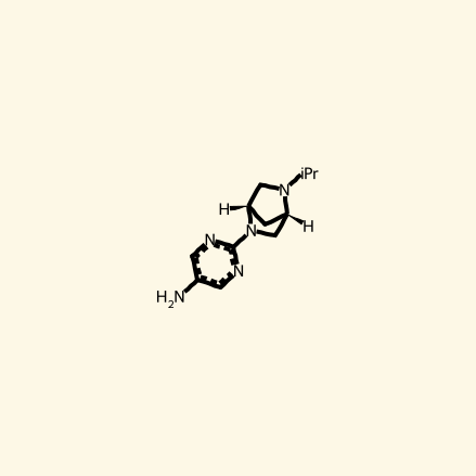 CC(C)N1C[C@@H]2C[C@H]1CN2c1ncc(N)cn1